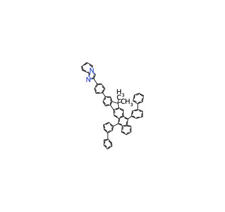 CC1(C)c2cc(-c3ccc(-c4cn5ccccc5n4)cc3)ccc2-c2cc3c(-c4cccc(-c5ccccc5)c4)c4ccccc4c(-c4cccc(-c5ccccc5)c4)c3cc21